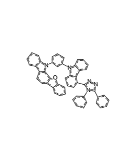 c1ccc(-c2nnc(-c3cccc4c3c3ccccc3n4-c3cccc(-n4c5ccccc5c5ccc6c7ccccc7oc6c54)c3)n2-c2ccccc2)cc1